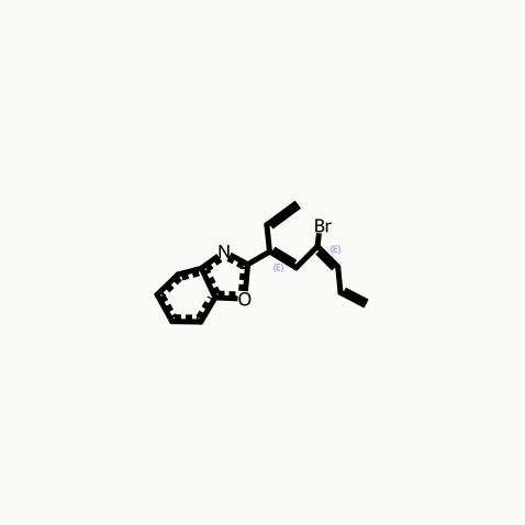 C=C/C=C(Br)\C=C(/C=C)c1nc2ccccc2o1